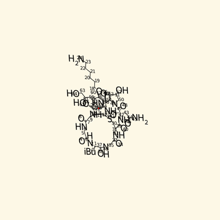 CC[C@H](C)[C@@H]1NC(=O)CNC(=O)C2Cc3c([nH]c4cc(OCCCCCCN)ccc34)[S@@+]([O-])CC(NC(=O)CNC1=O)C(=O)N[C@@H](CC(N)=O)C(=O)N1CC(O)C[C@H]1C(=O)N[C@@H]([C@@H](C)[C@@H](O)CO)C(=O)N2